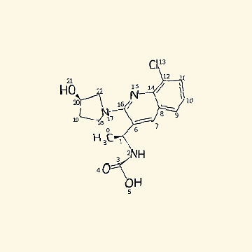 C[C@H](NC(=O)O)c1cc2cccc(Cl)c2nc1N1CC[C@@H](O)C1